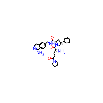 Nc1nccc2cc(CNC(=O)[C@@H]3C[C@@H](c4ccccc4)CN3C(=O)[C@H](N)CCC(=O)N3CCCC3)ccc12